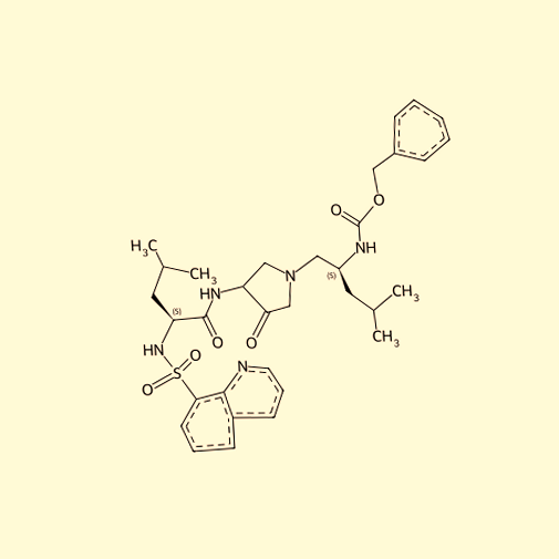 CC(C)C[C@@H](CN1CC(=O)C(NC(=O)[C@H](CC(C)C)NS(=O)(=O)c2cccc3cccnc23)C1)NC(=O)OCc1ccccc1